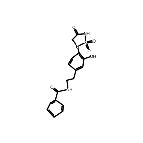 O=C1CN(c2ccc(CCNC(=O)c3ccccc3)cc2O)S(=O)(=O)N1